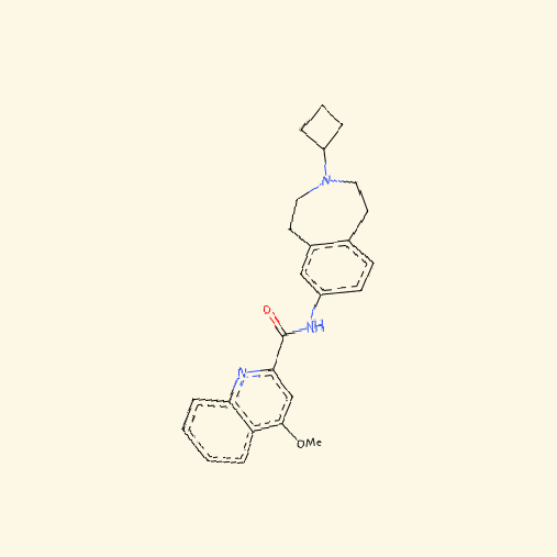 COc1cc(C(=O)Nc2ccc3c(c2)CCN(C2CCC2)CC3)nc2ccccc12